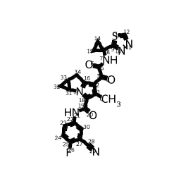 Cc1c(C(=O)C(=O)NC2(c3nncs3)CC2)c2n(c1C(=O)Nc1ccc(F)c(C#N)c1)C1CC1C2